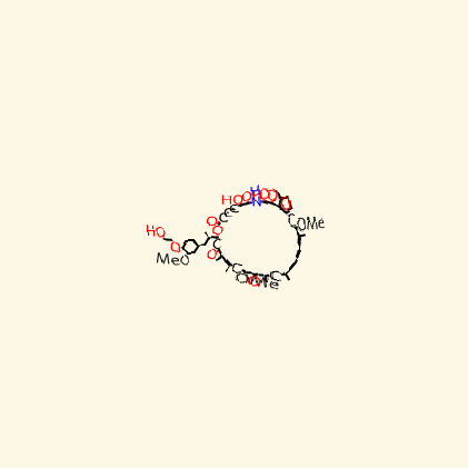 COC1CC(C)=CC(C)C(=O)CC([C@H](C)C[C@@H]2CC[C@@H](OCCO)[C@H](OC)C2)OC(=O)CCCC(O)C(O)NC(=O)C(=O)C23OC2(CCC3C)CC(OC)C(C)=CC=CC=CC(C)CC(C)C1=O